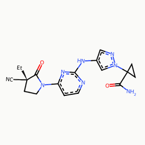 CC[C@]1(C#N)CCN(c2ccnc(Nc3cnn(C4(C(N)=O)CC4)c3)n2)C1=O